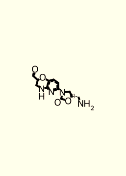 NC[C@H]1CN(c2ccc3c(n2)NCC(C=O)O3)C(=O)O1